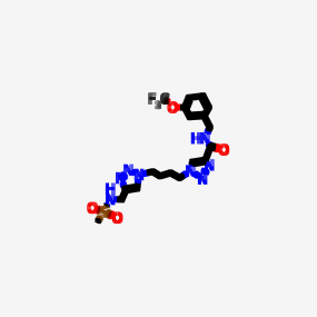 CS(=O)(=O)NCc1cn(CCCCn2cc(C(=O)NCc3cccc(OC(F)(F)F)c3)nn2)nn1